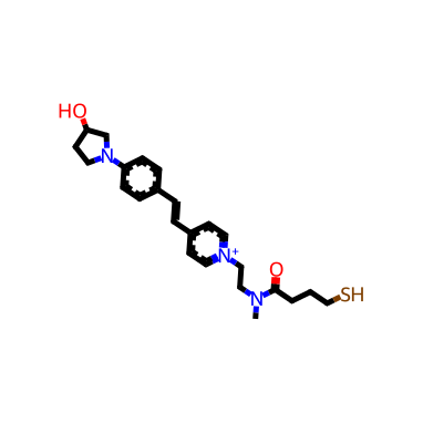 CN(CC[n+]1ccc(/C=C/c2ccc(N3CCC(O)C3)cc2)cc1)C(=O)CCCS